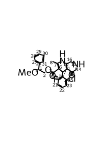 COC(COC(=O)C1=C(C)NC2=C(C(=O)CNC2)C1c1c(F)cccc1Cl)c1ccccc1